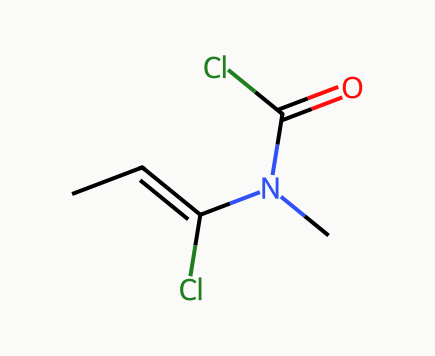 CC=C(Cl)N(C)C(=O)Cl